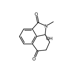 CN1C(=O)c2cccc3c2C1(O)CCC3=O